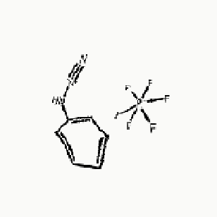 F[P-](F)(F)(F)(F)F.N#[N+]Nc1ccccc1